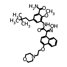 COc1c(NC(=O)C(=NO)c2ccc(OCCN3CCOCC3)c3ccccc23)cc(CCC(C)(C)C)cc1C(N)=O